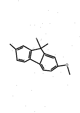 COc1ccc2c(c1)C(C)(C)c1cc(C)ccc1-2